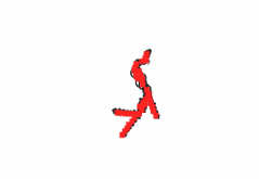 CCCCCCCCCCCCN(CCCCCCCCCCCC)CCCN1CCN(CCCN(CCCCCCCCCCCC)CCOCCOCC(=O)Oc2c(C)c(C)c3c(c2C)CC[C@@](C)(CCC[C@H](C)CCC[C@H](C)CCCC(C)C)O3)CC1